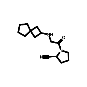 N#C[C@@H]1CCCN1C(=O)CNC1CC2(CCCC2)C1